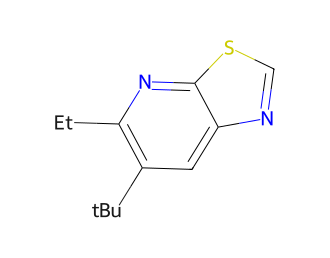 CCc1nc2scnc2cc1C(C)(C)C